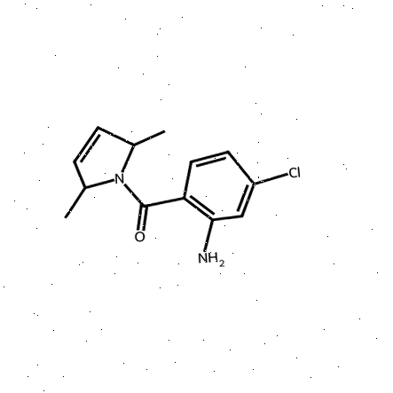 CC1C=CC(C)N1C(=O)c1ccc(Cl)cc1N